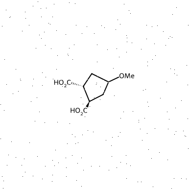 COC1C[C@@H](C(=O)O)[C@H](C(=O)O)C1